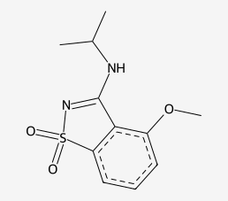 COc1cccc2c1C(NC(C)C)=NS2(=O)=O